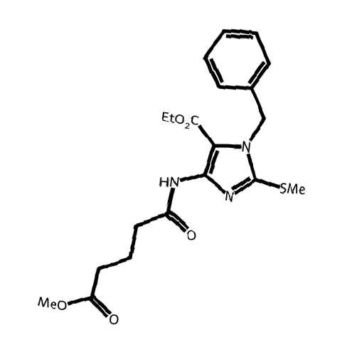 CCOC(=O)c1c(NC(=O)CCCC(=O)OC)nc(SC)n1Cc1ccccc1